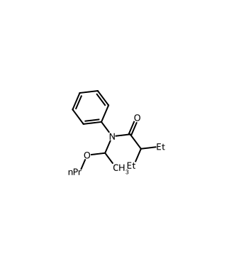 CCCOC(C)N(C(=O)C(CC)CC)c1ccccc1